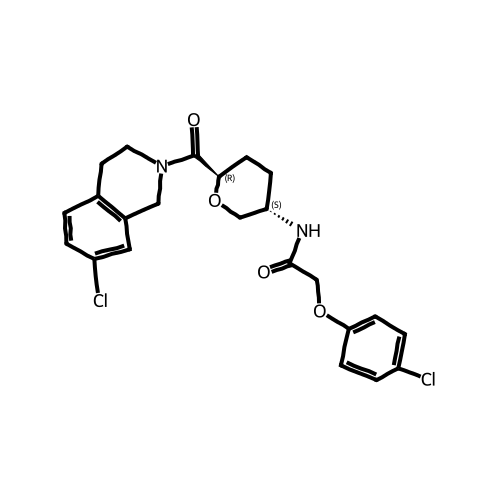 O=C(COc1ccc(Cl)cc1)N[C@H]1CC[C@H](C(=O)N2CCc3ccc(Cl)cc3C2)OC1